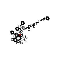 CC(=O)O[C@@]12COC1C[C@H](O)[C@@]1(C)C(=O)[C@H](C)C3=C(C)[C@@H](OC(=O)[C@H](OC(=O)CCC(=O)OCOC(=O)COCCOCCSSc4ccccn4)[C@@H](NC(=O)c4ccccc4)c4ccccc4)C[C@@](O)([C@@H](OC(=O)c4ccccc4)[C@@H]12)C3(C)C